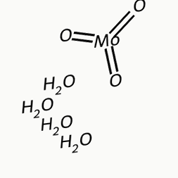 O.O.O.O.[O]=[Mo](=[O])=[O]